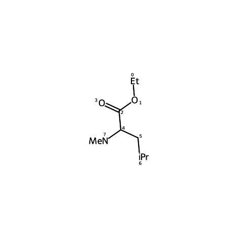 CCOC(=O)C(CC(C)C)NC